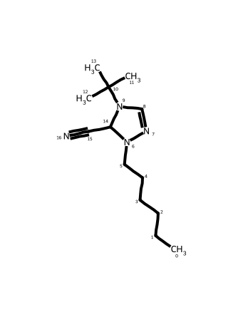 CCCCCCN1N=CN(C(C)(C)C)C1C#N